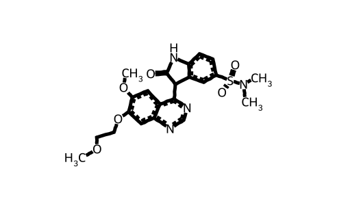 COCCOc1cc2ncnc(C3C(=O)Nc4ccc(S(=O)(=O)N(C)C)cc43)c2cc1OC